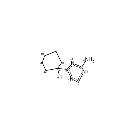 Nc1ncnc(C2(Cl)CCCCC2)n1